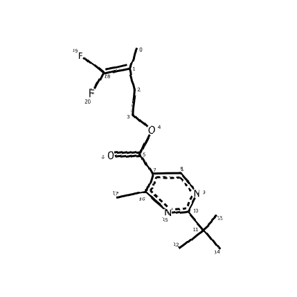 CC(CCOC(=O)c1cnc(C(C)(C)C)nc1C)=C(F)F